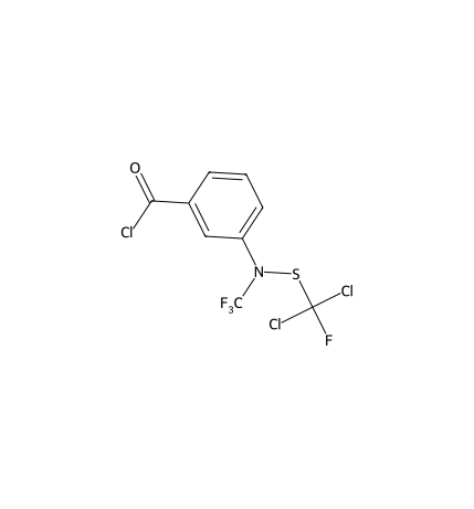 O=C(Cl)c1cccc(N(SC(F)(Cl)Cl)C(F)(F)F)c1